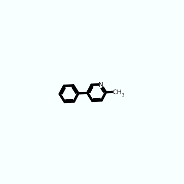 Cc1ccc(-c2ccccc2)cn1